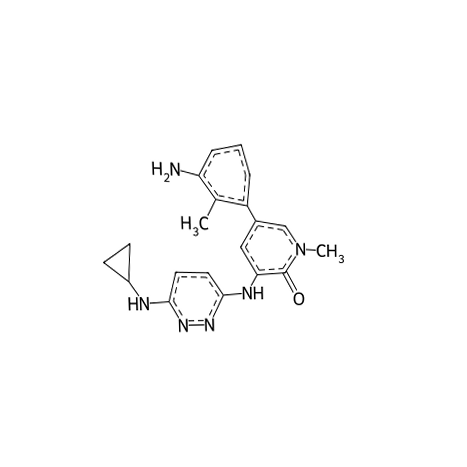 Cc1c(N)cccc1-c1cc(Nc2ccc(NC3CC3)nn2)c(=O)n(C)c1